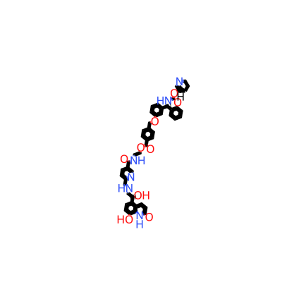 O=C(N[C@@H](c1ccccc1)c1cccc(OCc2ccc(C(=O)OCCNC(=O)c3ccc(CNC[C@H](O)c4ccc(O)c5[nH]c(=O)ccc45)nc3)cc2)c1)O[C@H]1CN2CCC1CC2